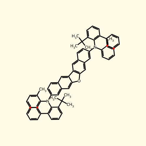 Cc1ccccc1N(c1ccc2cc3c(cc2c1)oc1cc2cc(N(c4ccccc4C)c4c(-c5ccccc5)cccc4C(C)(C)C)ccc2cc13)c1c(-c2ccccc2)cccc1C(C)(C)C